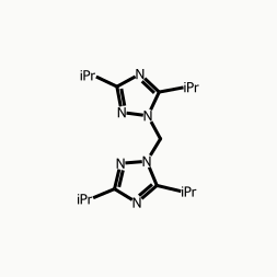 CC(C)c1nc(C(C)C)n(Cn2nc(C(C)C)nc2C(C)C)n1